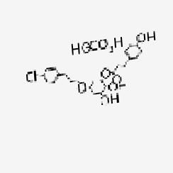 O=C(CCc1ccc(O)cc1)O[C@@H]1C[C@@H](OCCCc2ccc(Cl)cc2)C[C@H](O)[C@H]1O.O=C(O)O